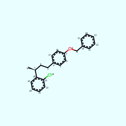 [CH2][C@@H](CCc1ccc(OCc2ccccc2)cc1)c1ccccc1Cl